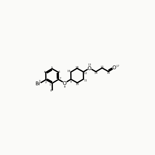 Cc1c(Br)cccc1OC1CCC(OCCC=O)CC1